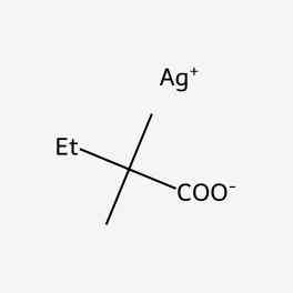 CCC(C)(C)C(=O)[O-].[Ag+]